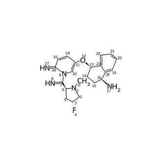 CN1C[C@H](F)C[C@H]1C(=N)n1cc(O[C@@H]2CC[C@H](N)c3ccccc32)ccc1=N